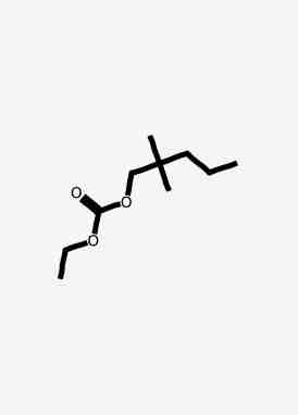 CCCC(C)(C)COC(=O)OCC